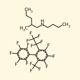 CCCCNCC(C)CCC.Fc1c(F)c(F)c(-c2c(C(F)(F)F)c(F)c(F)c(F)c2C(F)(F)C(F)(F)F)c(F)c1F